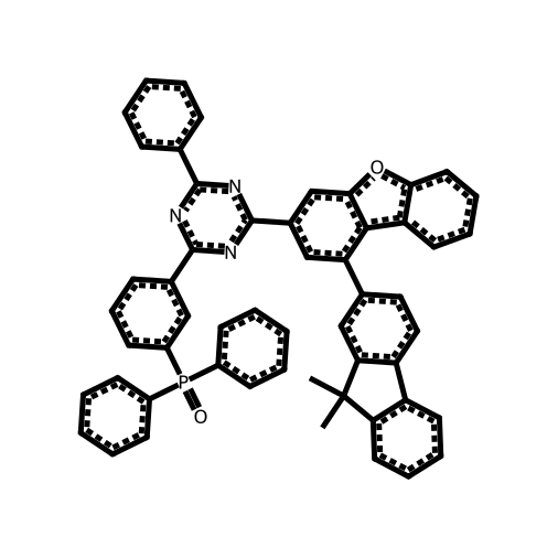 CC1(C)c2ccccc2-c2ccc(-c3cc(-c4nc(-c5ccccc5)nc(-c5cccc(P(=O)(c6ccccc6)c6ccccc6)c5)n4)cc4oc5ccccc5c34)cc21